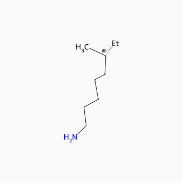 CC[C@@H](C)CCCCCN